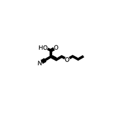 CCCOCC=C(C#N)C(=O)O